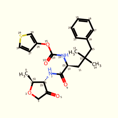 C[C@@H]1OCC(=O)[C@H]1NC(=O)[C@H](CC(C)(C)Cc1ccccc1)NC(=O)Oc1ccsc1